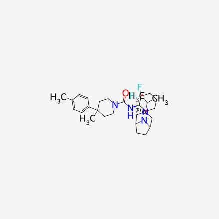 Cc1ccc(C2(C)CCN(C(=O)N[C@@H]3[C@@H](N4C5CCC4CN(C(C)C)C5)CCCC3(F)F)CC2)cc1